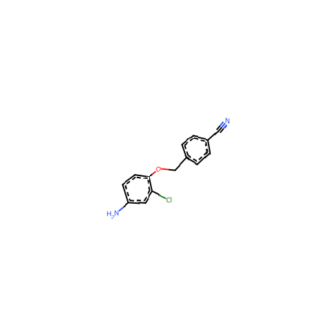 N#Cc1ccc(COc2ccc(N)cc2Cl)cc1